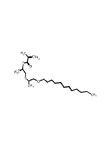 C=C(C)C(=O)OC(C)COC(C)COCCCCCCCCCCCC